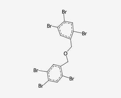 Brc1cc(Br)c(COCc2cc(Br)c(Br)cc2Br)cc1Br